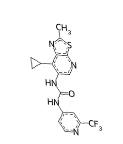 Cc1nc2c(C3CC3)c(NC(=O)Nc3ccnc(C(F)(F)F)c3)cnc2s1